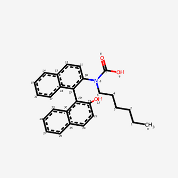 CCCCCCN(C(=O)O)c1ccc2ccccc2c1-c1c(O)ccc2ccccc12